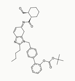 CCCCc1nc2c(n1Cc1ccc(-c3ccccc3OC(=O)OC(C)(C)C)cc1)CC(=NC(=O)[C@@H]1CCCC[C@@H]1C=O)C=C2